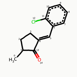 CC1CCC(=Cc2ccccc2Cl)C1=O